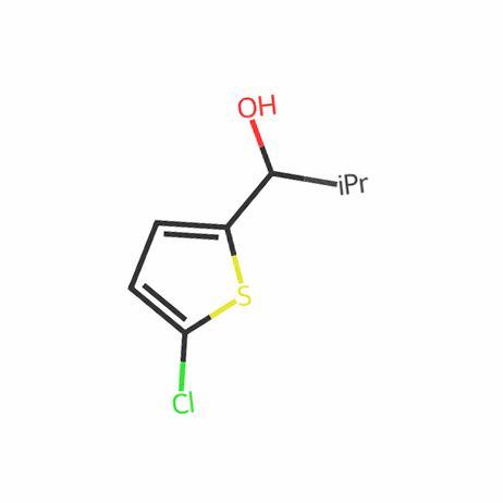 CC(C)C(O)c1ccc(Cl)s1